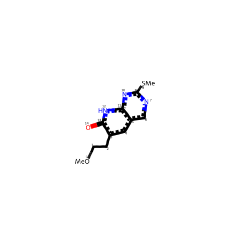 COCCc1cc2cnc(SC)nc2[nH]c1=O